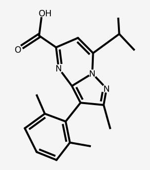 Cc1cccc(C)c1-c1c(C)nn2c(C(C)C)cc(C(=O)O)nc12